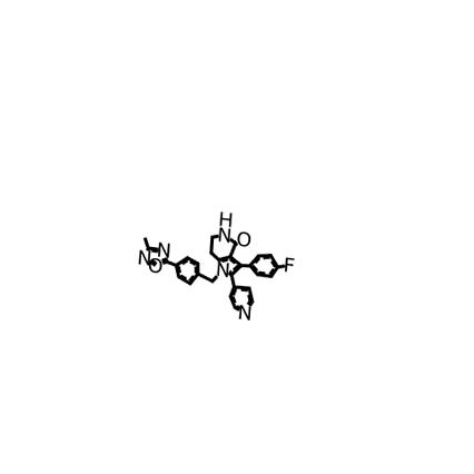 Cc1noc(-c2ccc(Cn3c4c(c(-c5ccc(F)cc5)c3-c3ccncc3)C(=O)NCC4)cc2)n1